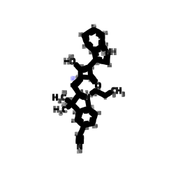 CCC[N+]1=C(/C=C2\C(=O)C(c3c[nH]c4ccccc34)=C2O)C(C)(C)c2cc(C#N)ccc21